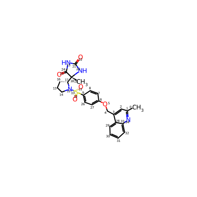 Cc1cc(COc2ccc(S(=O)(=O)N3CCC[C@@H]3[C@@]3(C)NC(=O)NC3=O)cc2)c2ccccc2n1